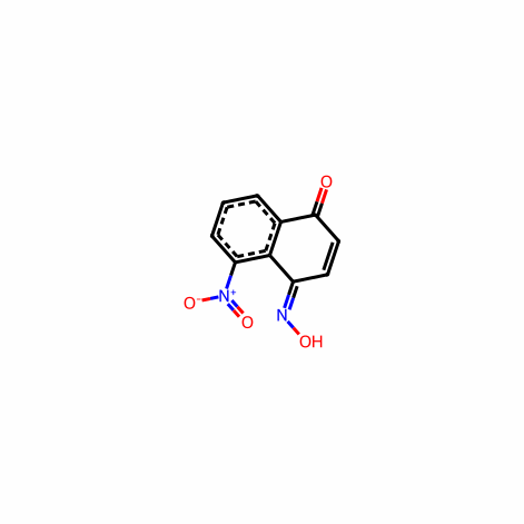 O=C1C=CC(=NO)c2c1cccc2[N+](=O)[O-]